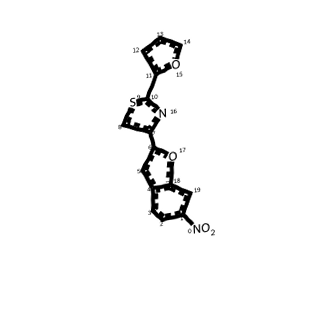 O=[N+]([O-])c1ccc2cc(-c3csc(-c4ccco4)n3)oc2c1